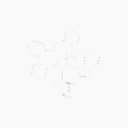 CC[Si]1(CC)C(c2c(-c3ccccc3)sc3ccccc23)=C(c2ccccc2)C(c2ccccc2)=C1c1c(-c2ccccc2)sc2ccccc12